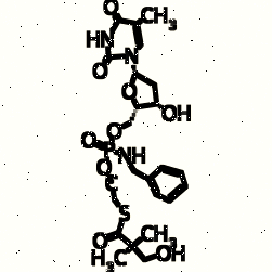 Cc1cn([C@@H]2C[C@H](O)[C@H](COP(=O)(NCc3ccccc3)OCCSC(=O)C(C)(C)CO)O2)c(=O)[nH]c1=O